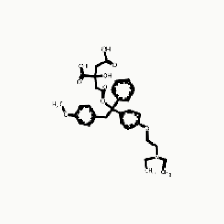 CCN(CC)CCOc1ccc(C(Cc2ccc(OC)cc2)(OC(=O)CC(O)(CC(=O)O)C(=O)O)c2ccccc2)cc1